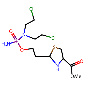 COC(=O)C1CSC(CCOP(N)(=O)N(CCCl)CCCl)N1